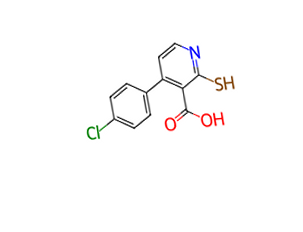 O=C(O)c1c(-c2ccc(Cl)cc2)ccnc1S